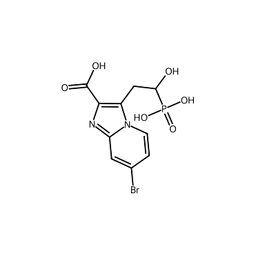 O=C(O)c1nc2cc(Br)ccn2c1CC(O)P(=O)(O)O